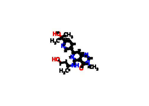 C[C@H](CCO)Nc1nc(-c2ccc(C(C)(C)O)nc2)cc2ncn(C)c(=O)c12